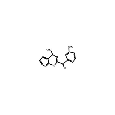 CCN(C1=NC(C=O)c2cccnc2S1)c1cccc(OC)c1